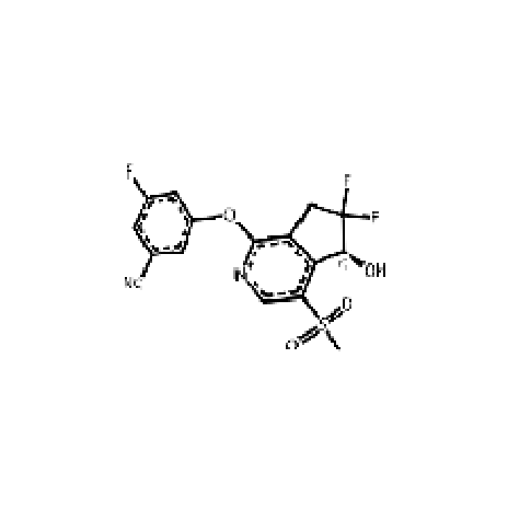 CS(=O)(=O)c1cnc(Oc2cc(F)cc(C#N)c2)c2c1[C@H](O)C(F)(F)C2